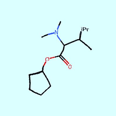 CC(C)C(C)C(C(=O)OC1CCCC1)N(C)C